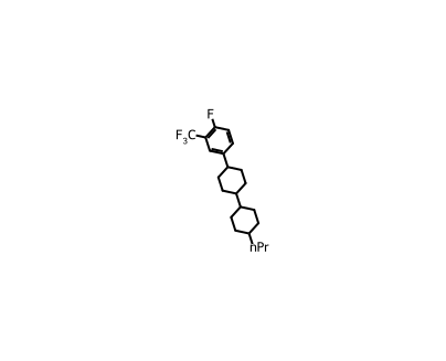 CCCC1CCC(C2CCC(c3ccc(F)c(C(F)(F)F)c3)CC2)CC1